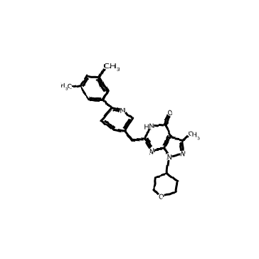 Cc1cc(C)cc(-c2ccc(Cc3nc4c(c(C)nn4C4CCOCC4)c(=O)[nH]3)cn2)c1